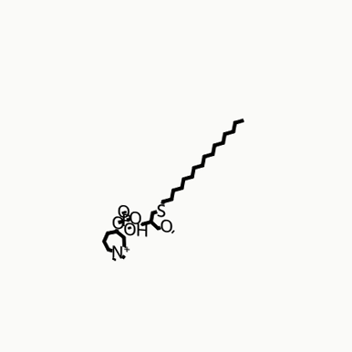 CCCCCCCCCCCCCCCCSCC(COC)COP(=O)(O)OC1CCC[N+](C)(C)CC1